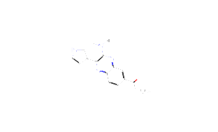 COC(=O)c1ccc2nc(C3C=CNC3)c(N(C)C(C)C)nc2c1